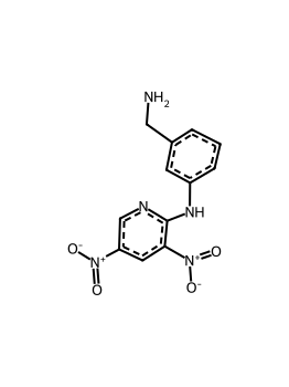 NCc1cccc(Nc2ncc([N+](=O)[O-])cc2[N+](=O)[O-])c1